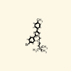 Cc1ccc(-c2cn(COCC[Si](C)(C)C)c(-c3ccc(Br)cc3)n2)cc1